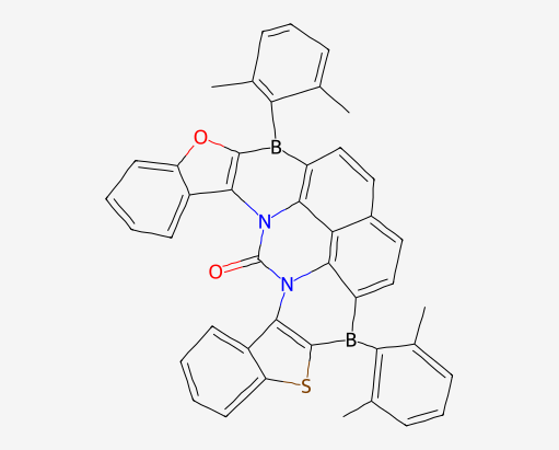 Cc1cccc(C)c1B1c2ccc3ccc4c5c3c2N(C(=O)N5c2c(sc3ccccc23)B4c2c(C)cccc2C)c2c1oc1ccccc21